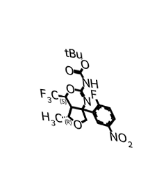 C[C@H]1OCC2(c3cc([N+](=O)[O-])ccc3F)N=C(NC(=O)OC(C)(C)C)O[C@H](C(F)(F)F)C12